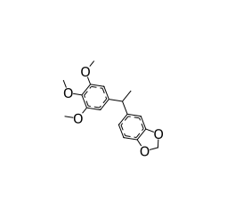 COc1cc(C(C)c2ccc3c(c2)OCO3)cc(OC)c1OC